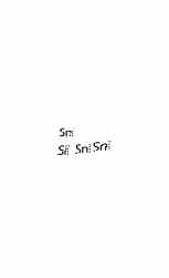 [Si].[Sn].[Sn].[Sn]